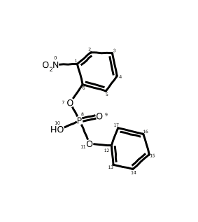 O=[N+]([O-])c1ccccc1OP(=O)(O)Oc1ccccc1